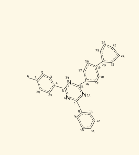 Cc1ccc(-c2nc(-c3ccccc3)nc(-c3ccc(-c4ccccc4)cc3)n2)cc1